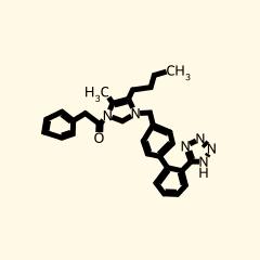 CCCCC1=C(C)N(C(=O)Cc2ccccc2)CN1Cc1ccc(-c2ccccc2-c2nnn[nH]2)cc1